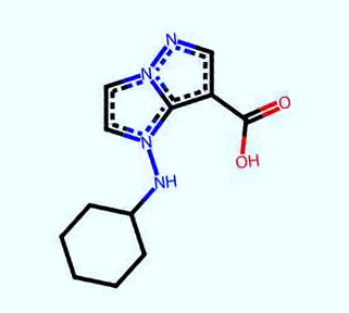 O=C(O)c1cnn2ccn(NC3CCCCC3)c12